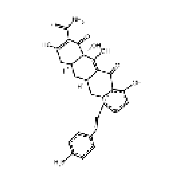 Bc1ccc(/C=C/c2ccc(O)c3c2C[C@H]2C[C@H]4CC(O)=C(C(N)=O)C(=O)[C@@]4(O)C(O)=C2C3=O)cc1